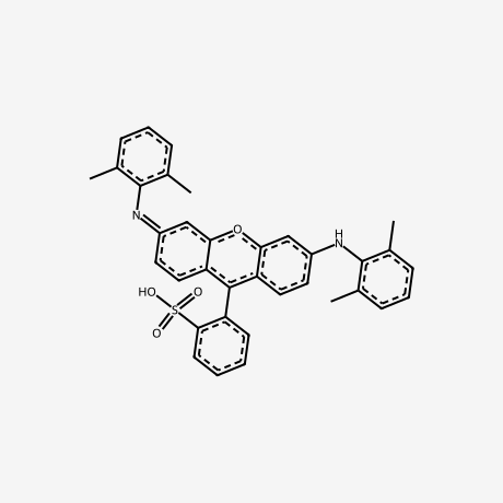 Cc1cccc(C)c1/N=c1/ccc2c(-c3ccccc3S(=O)(=O)O)c3ccc(Nc4c(C)cccc4C)cc3oc-2c1